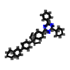 CCC(CC)(c1ccc(-c2ccc3c(c2)C=CCC3)cc1)c1ccc(-c2nc(C3=CCCC=C3)nc(-c3ccccc3)n2)cc1